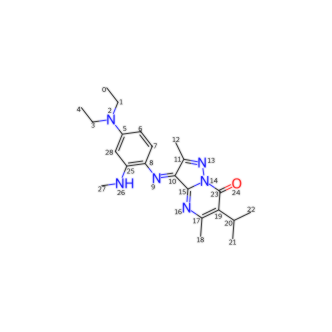 CCN(CC)c1ccc(N=C2C(C)=Nn3c2nc(C)c(C(C)C)c3=O)c(NC)c1